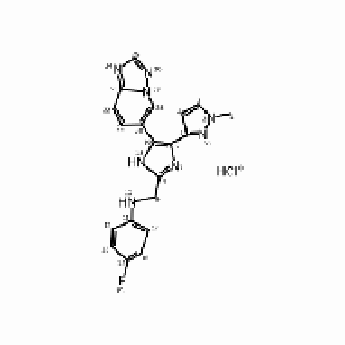 Cl.Cn1ccc(-c2nc(CNc3ccc(F)cc3)[nH]c2-c2ccc3ncnn3c2)n1